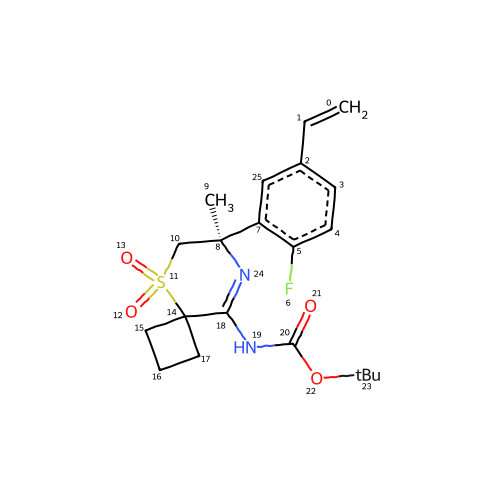 C=Cc1ccc(F)c([C@]2(C)CS(=O)(=O)C3(CCC3)C(NC(=O)OC(C)(C)C)=N2)c1